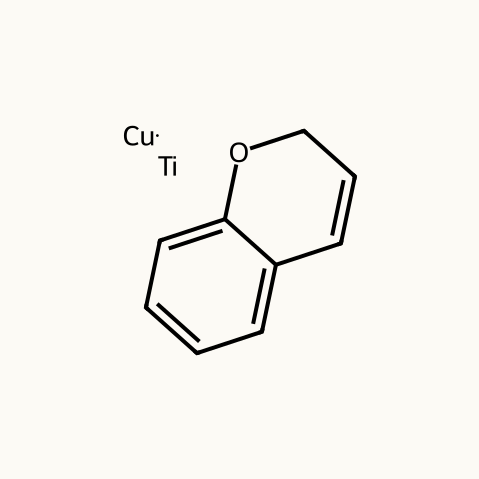 C1=Cc2ccccc2OC1.[Cu].[Ti]